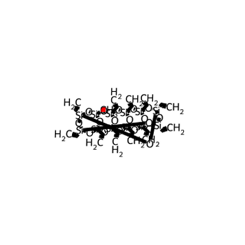 C=C[Si]12O[Si]3(C)O[Si]4(C=C)O[Si](C=C)(O1)O[Si]1(C=C)O[Si](C=C)(O4)O[Si]4(C=C)O[Si]5(C=C)O[Si](C=C)(O3)O[Si](C=C)(O2)O[Si](C=C)(O5)O[Si](C=C)(O1)O4